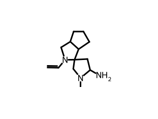 C=CN1CC2CCCC2C12CC(N)N(C)C2